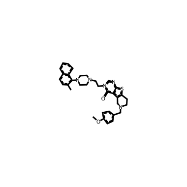 COc1ccc(CN2CCc3sc4ncn(CCN5CCN(c6c(C)ccc7ccccc67)CC5)c(=O)c4c3C2)cc1